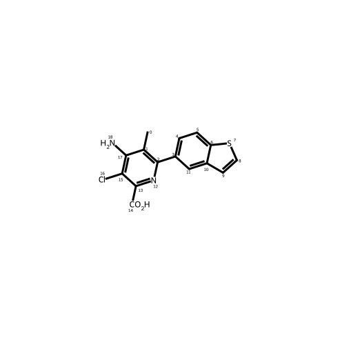 Cc1c(-c2ccc3sccc3c2)nc(C(=O)O)c(Cl)c1N